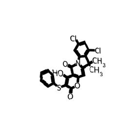 CC1(C)c2c(Cl)cc(Cl)cc2-n2c1cc1oc(=O)c(Sc3ccccc3)c(O)c1c2=O